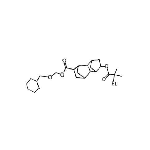 CCC(C)(C)C(=O)OC1CC2CC1C1C3CC(C(=O)OCOCC4CCCCC4)C(C3)C21